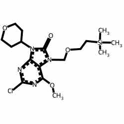 COc1nc(Cl)nc2c1n(COCC[Si](C)(C)C)c(=O)n2C1CCOCC1